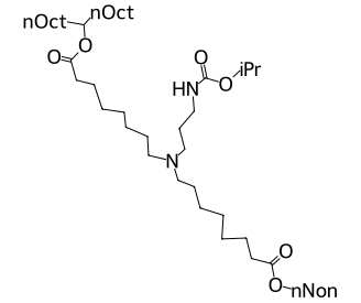 CCCCCCCCCOC(=O)CCCCCCCN(CCCCCCCC(=O)OC(CCCCCCCC)CCCCCCCC)CCCNC(=O)OC(C)C